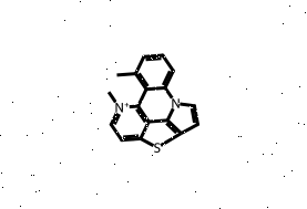 Cc1cccc2c1c1c3c(cc[n+]1C)sc1ccn2c13